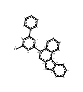 Clc1nc(-c2ccccc2)nc(-c2cc3oc4ccccc4c3c3ccccc23)n1